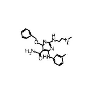 Cc1cccc(Nc2nc(NCCN(C)C)nc(OCc3ccccc3)c2C(N)=O)c1